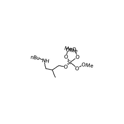 CCCCNCC(C)CO[Si](OOC)(OOC)OOC